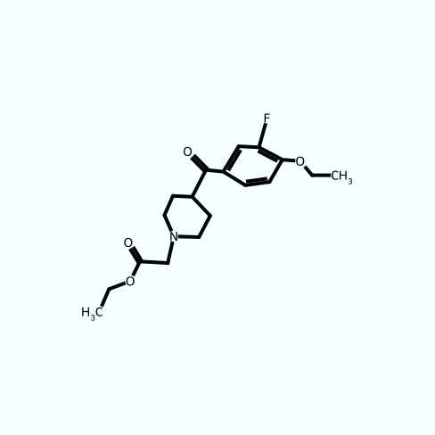 CCOC(=O)CN1CCC(C(=O)c2ccc(OCC)c(F)c2)CC1